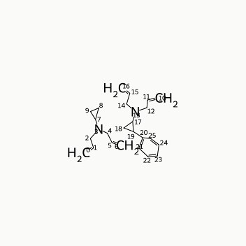 C=CCN(CC=C)C1CC1.C=CCN(CC=C)C1CC1c1ccccc1